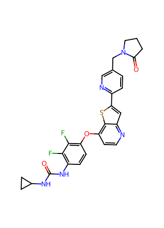 O=C(Nc1ccc(Oc2ccnc3cc(-c4ccc(CN5CCCC5=O)cn4)sc23)c(F)c1F)NC1CC1